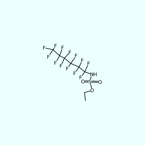 CCOS(=O)(=O)NC(F)(F)C(F)(F)C(F)(F)C(F)(F)C(F)(F)C(F)(F)F